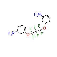 Nc1cccc(OC(F)(F)C(F)(F)C(F)(F)Oc2cccc(N)c2)c1